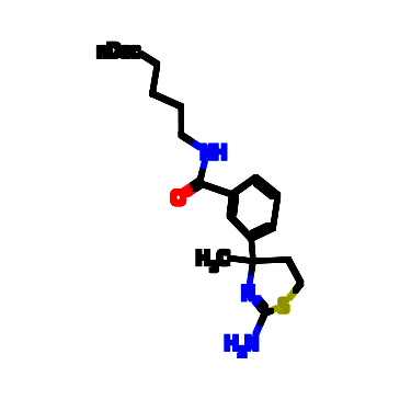 CCCCCCCCCCCCCCNC(=O)c1cccc(C2(C)CCSC(N)=N2)c1